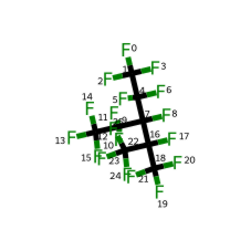 FC(F)(F)C(F)(F)C(F)(C(F)(F)C(F)(F)F)C(F)(C(F)(F)F)C(F)(F)F